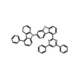 C1=Cc2c(c3c(-c4ccccc4)cccc3n2-c2ccc3c(c2)oc2cccc(-c4nc(-c5ccccc5)cc(-c5ccccc5)n4)c23)CC1